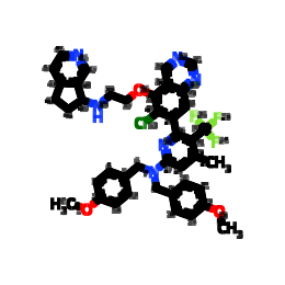 COc1ccc(CN(Cc2ccc(OC)cc2)c2cc(C)c(C(F)(F)F)c(-c3cc4ncncc4c(OCCNC4CCc5ccncc54)c3Cl)n2)cc1